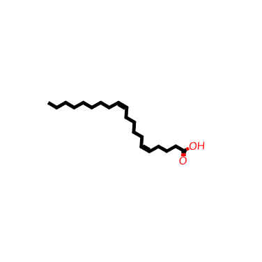 CCCCCCCC/C=C\CCCC/C=C\CCCC(=O)O